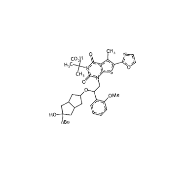 CCCCC1(O)CC2CC(OC(Cn3c(=O)n(C(C)(C)C(=O)O)c(=O)c4c(C)c(-c5ncco5)sc43)c3ccccc3OC)CC2C1